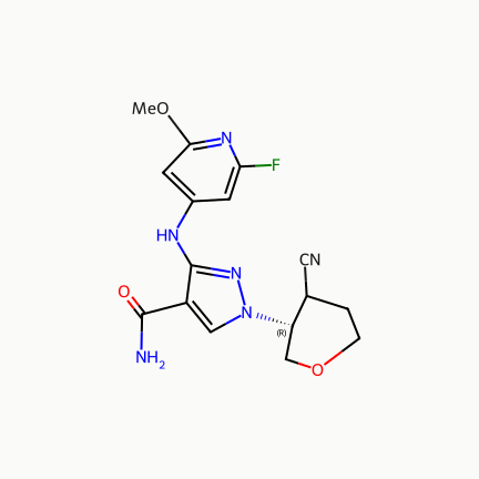 COc1cc(Nc2nn([C@H]3COCCC3C#N)cc2C(N)=O)cc(F)n1